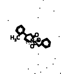 Cc1ccccc1C1C=CN(S(=O)(=O)Cc2ccccc2)C(=O)C1